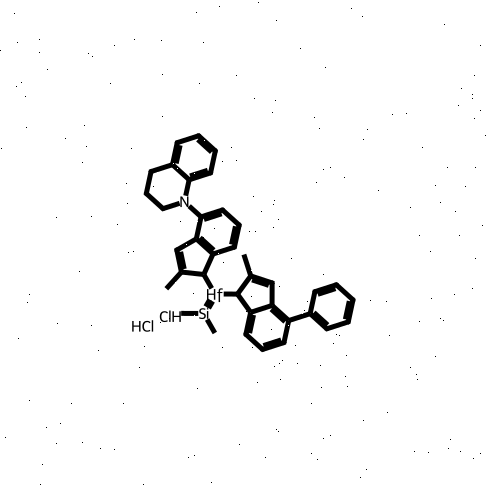 CC1=Cc2c(-c3ccccc3)cccc2[CH]1[Hf]([CH]1C(C)=Cc2c1cccc2N1CCCc2ccccc21)=[Si](C)C.Cl.Cl